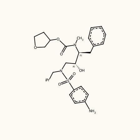 CC(C)CN(C[C@@H](O)[C@H](Cc1ccccc1)N(C)C(=O)OC1CCOC1)S(=O)(=O)c1ccc(N)cc1